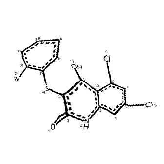 O=c1[nH]c2cc(Cl)cc(Cl)c2c(O)c1Sc1ccccc1Br